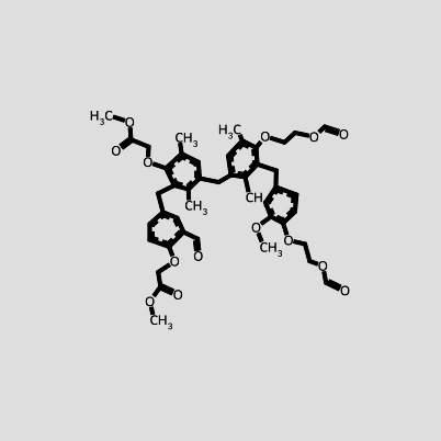 COC(=O)COc1ccc(Cc2c(C)c(Cc3cc(C)c(OCCOC=O)c(Cc4ccc(OCCOC=O)c(OC)c4)c3C)cc(C)c2OCC(=O)OC)cc1C=O